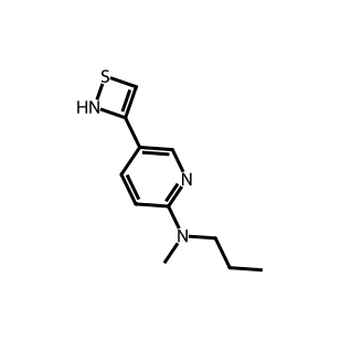 CCCN(C)c1ccc(-c2cs[nH]2)cn1